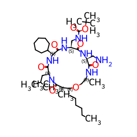 CCCCCC[C@H]1OC[C@@H](C)NC(=O)[C@H](CN)NC(=O)[C@H](CNC(=O)OC(C)(C)C)NC(=O)[C@H](C2CCCCCC2)NC(=O)[C@H](CC(C)C)N(C)C(=O)[C@@H]1C